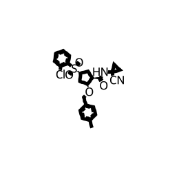 Cc1ccc(CO[C@@H]2C[C@H](S(=O)(=O)c3ccccc3Cl)C[C@H]2C(=O)NC2(C#N)CC2)cc1